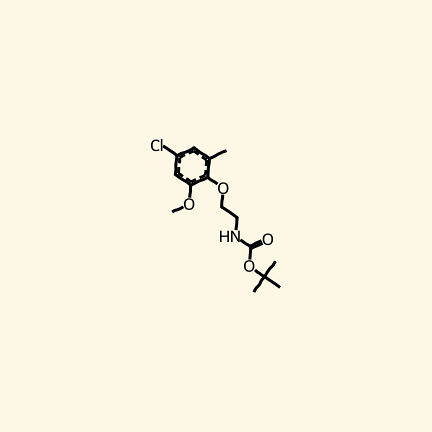 COc1cc(Cl)cc(C)c1OCCNC(=O)OC(C)(C)C